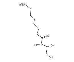 CCCCCCCCCCCCCCCC(=S)C(O)C(O)CO